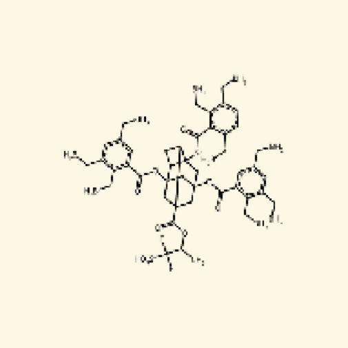 BCc1cc(CB)c(CB)c(C(=O)OC23CC4(OC(=O)c5cc(CB)cc(CB)c5CB)CC(C(=O)OC(C)C(F)(F)S(=O)(=O)O)(C2)C2CC4C2(OC(=O)c2c(CB)ccc(CB)c2CB)C3)c1